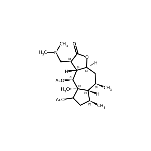 CC(=O)OC1C[C@H](C)[C@H]2[C@H](C)C[C@@H]3OC(=O)[C@H](CN(C)C)[C@H]3[C@H](OC(C)=O)[C@]12C